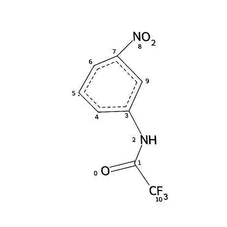 O=C(Nc1c[c]cc([N+](=O)[O-])c1)C(F)(F)F